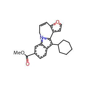 COC(=O)c1ccc2c(C3CCCCC3)c3n(c2c1)CC=Cc1occc1-3